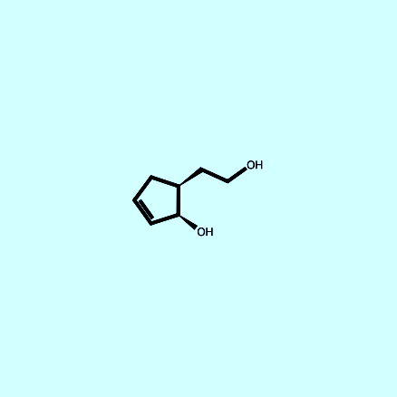 OCC[C@@H]1CC=C[C@@H]1O